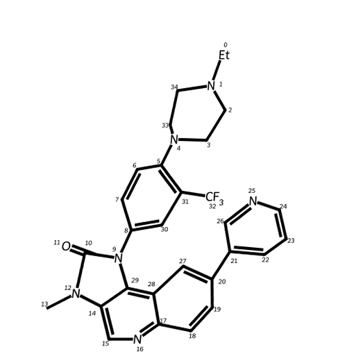 CCN1CCN(c2ccc(-n3c(=O)n(C)c4cnc5ccc(-c6cccnc6)cc5c43)cc2C(F)(F)F)CC1